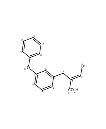 O=C(O)/C(=C/O)Cc1cccc(Oc2ccccc2)c1